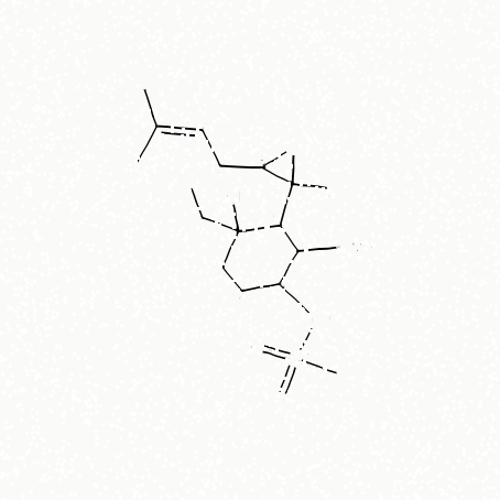 COC1C(OS(C)(=O)=O)CCC(O)(CI)C1C1(C)OC1CC=C(C)C